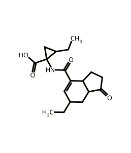 CCC1C=C(C(=O)NC2(C(=O)O)CC2CC)C2CCC(=O)C2C1